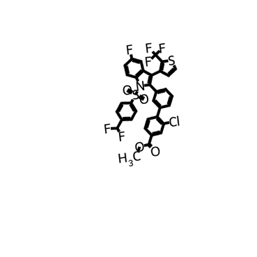 COC(=O)c1ccc(-c2cccc(-c3c(-c4ccsc4C(F)(F)F)c4cc(F)ccc4n3S(=O)(=O)c3ccc(C(F)F)cc3)c2)c(Cl)c1